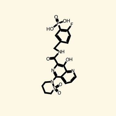 O=C(NCc1ccc(F)c(P(=O)(O)O)c1)c1nc(N2CCCCS2(=O)=O)c2cccnc2c1O